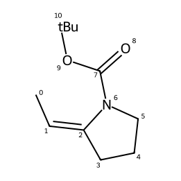 CC=C1CCCN1C(=O)OC(C)(C)C